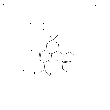 CCN(C1CC(C)(C)Oc2ccc(C(=O)O)cc21)S(=O)(=O)CC